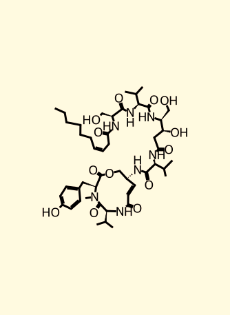 CCCCCC/C=C\CC(=O)N[C@@H](CO)C(=O)N[C@H](C(=O)N[C@@H](CO)[C@@H](O)CC(=O)N[C@H](C(=O)N[C@@H]1/C=C/C(=O)N[C@@H](C(C)C)C(=O)N(C)[C@@H](Cc2ccc(O)cc2)C(=O)OC1)C(C)C)C(C)C